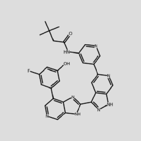 CC(C)(C)CC(=O)Nc1cncc(-c2cc3c(-c4nc5c(-c6cc(O)cc(F)c6)cncc5[nH]4)n[nH]c3cn2)c1